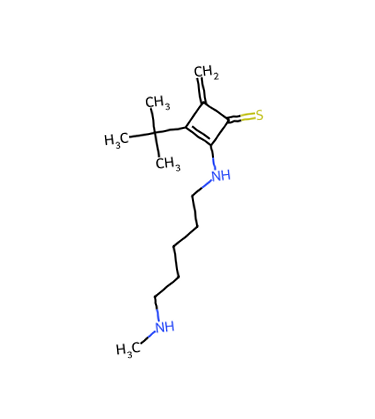 C=C1C(=S)C(NCCCCCNC)=C1C(C)(C)C